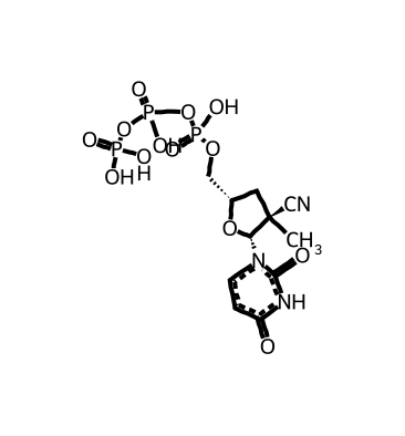 C[C@@]1(C#N)C[C@@H](COP(=O)(O)OP(=O)(O)OP(=O)(O)O)O[C@H]1n1ccc(=O)[nH]c1=O